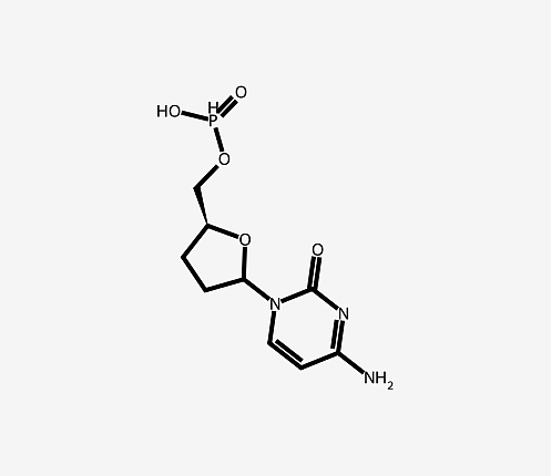 Nc1ccn(C2CC[C@@H](CO[PH](=O)O)O2)c(=O)n1